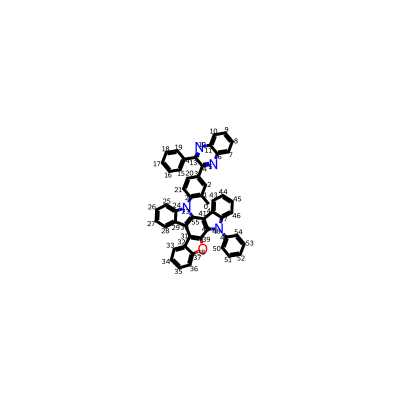 Cc1cc(-c2nc3ccccc3nc2-c2ccccc2)ccc1-n1c2ccccc2c2c3c4ccccc4oc3c3c(c4ccccc4n3-c3ccccc3)c21